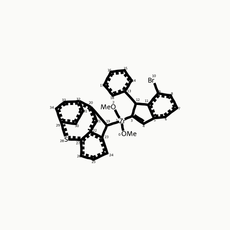 C[O][Zr]([O]C)([C]1=Cc2cccc(Br)c2C1c1ccccc1)[CH]1c2cc3c1cccc3sc1ccc2cc1